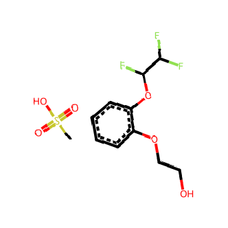 CS(=O)(=O)O.OCCOc1ccccc1OC(F)C(F)F